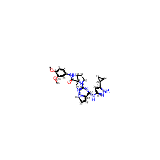 COc1ccc(NC(=O)[C@]2(C)CCCN2c2nc(Nc3cc(C4CC4)[nH]n3)c3cccn3n2)cc1OC